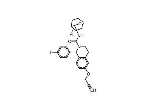 C#CCOc1ccc2c(c1)CCN(C(=O)N[C@@H]1CN3CCC1CC3)[C@H]2c1ccc(F)cc1